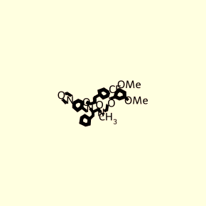 COc1cc(COCCN(C)C(=O)C(Cc2ccccc2)N(Cc2ccc(N3CCOCC3)cc2)C(=O)C=Cc2ccc(C(F)(F)F)cc2)cc(OC)c1